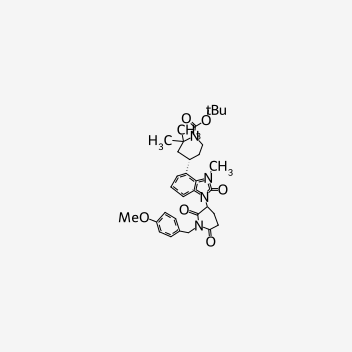 COc1ccc(CN2C(=O)CCC(n3c(=O)n(C)c4c([C@H]5CCN(C(=O)OC(C)(C)C)C(C)(C)C5)cccc43)C2=O)cc1